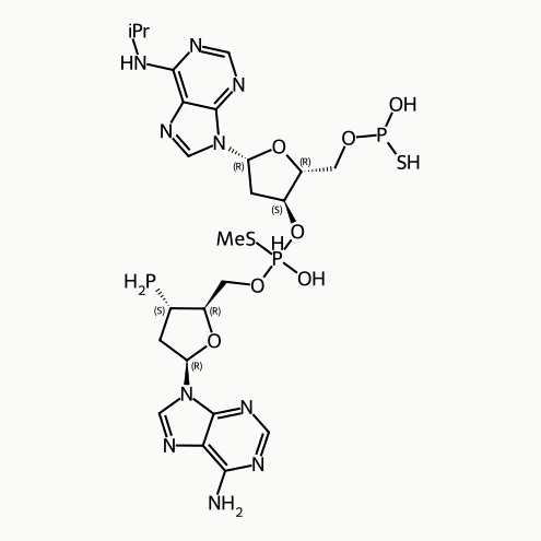 CS[PH](O)(OC[C@H]1O[C@@H](n2cnc3c(N)ncnc32)C[C@@H]1P)O[C@H]1C[C@H](n2cnc3c(NC(C)C)ncnc32)O[C@@H]1COP(O)S